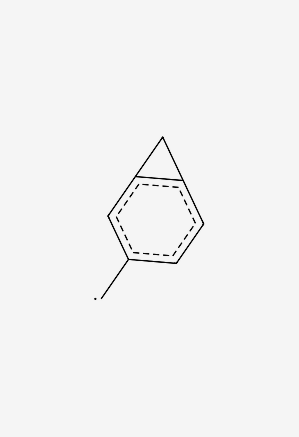 [CH2]c1ccc2c(c1)C2